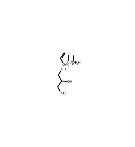 C=COC(C)=O.CC(=O)O.CC(=O)O.CC(=O)OCC(O)CO